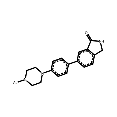 CC(=O)N1CCN(c2ccc(-c3ccc4c(c3)C(=O)NC4)cc2)CC1